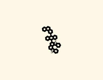 c1ccc2c(c1)ccc1ccc(-c3c4ccccc4c(-c4cc5ccc6sc7ccccc7c6c5c5c4sc4ccccc45)c4ccccc34)cc12